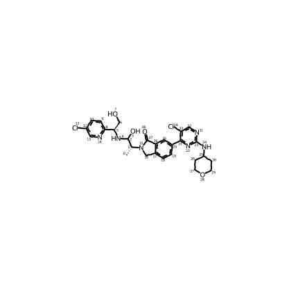 C[C@H](C(O)N[C@H](CO)c1ccc(Cl)cn1)N1Cc2ccc(-c3nc(NC4CCOCC4)ncc3Cl)cc2C1=O